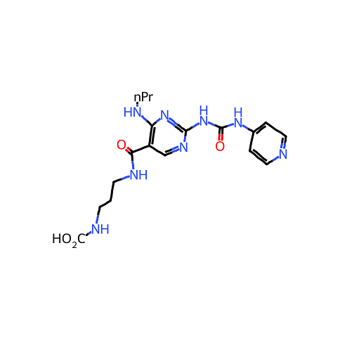 CCCNc1nc(NC(=O)Nc2ccncc2)ncc1C(=O)NCCCNC(=O)O